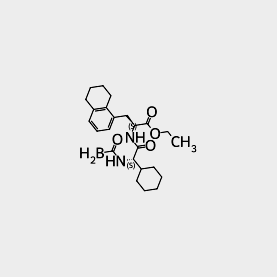 BC(=O)N[C@H](C(=O)N[C@@H](Cc1cccc2c1CCCC2)C(=O)OCC)C1CCCCC1